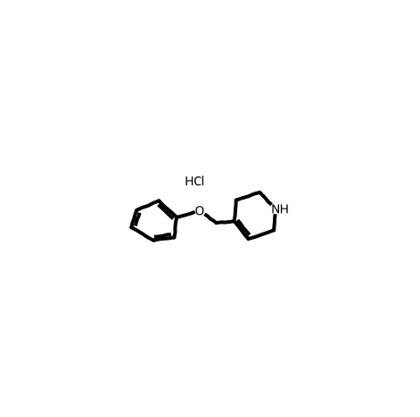 C1=C(COc2ccccc2)CCNC1.Cl